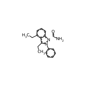 CCc1cccc2nn(-c3ccccc3)c(CC)c12.NC=O